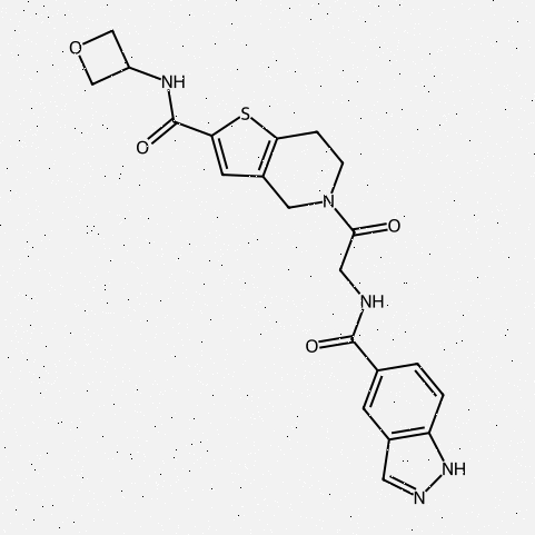 O=C(NCC(=O)N1CCc2sc(C(=O)NC3COC3)cc2C1)c1ccc2[nH]ncc2c1